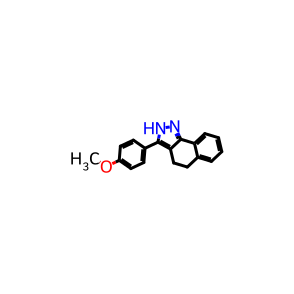 COc1ccc(-c2[nH]nc3c2CCc2ccccc2-3)cc1